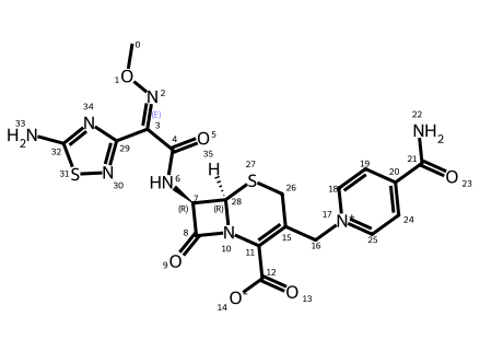 CO/N=C(/C(=O)N[C@@H]1C(=O)N2C(C(=O)[O-])=C(C[n+]3ccc(C(N)=O)cc3)CS[C@H]12)c1nsc(N)n1